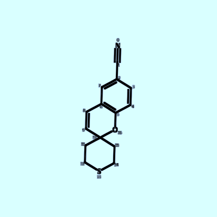 N#Cc1ccc2c(c1)C=CC1(CCSCC1)O2